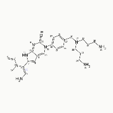 C=CN(C)/C(=C\N)c1cc2cn(-c3ccc(CN(CCCN)CCCN)cc3)c(=O)nc2[nH]1